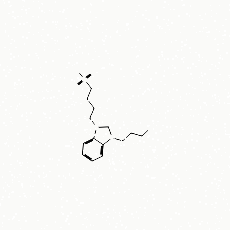 CCCCN1CN(CCCCS(=O)(=O)O)c2ccccc21